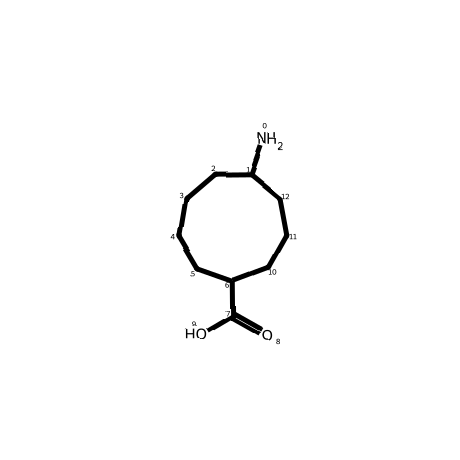 NC1CCCCC(C(=O)O)CCC1